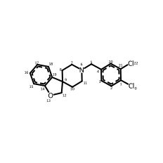 Clc1ccc(CN2CCC3(CC2)COc2ccccc23)cc1Cl